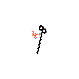 CCCCCCCCCCCCc1cccc2ccccc12.O=[PH](O)O